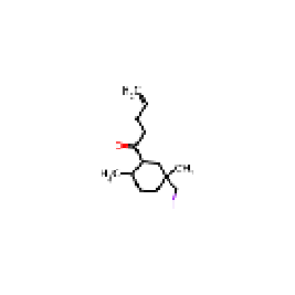 C=CCCC(=O)C1CC(C)(CI)CCC1C